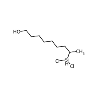 CC(CCCCCCCO)[SiH](Cl)Cl